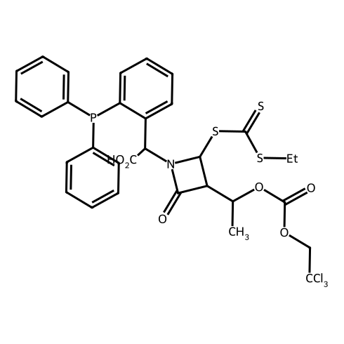 CCSC(=S)SC1C(C(C)OC(=O)OCC(Cl)(Cl)Cl)C(=O)N1C(C(=O)O)c1ccccc1P(c1ccccc1)c1ccccc1